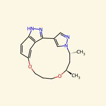 C[C@@H]1C[C@@H](C)n2cc(cn2)-c2n[nH]c3ccc(cc23)OCCCO1